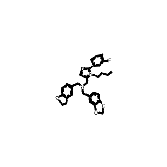 CCCCn1c(CN(Cc2ccc3c(c2)CCO3)Cc2ccc3c(c2)OCO3)cnc1-c1cccc(F)c1